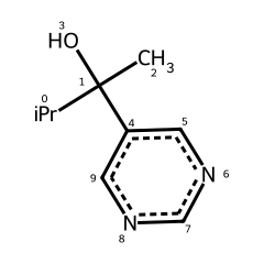 CC(C)C(C)(O)c1cncnc1